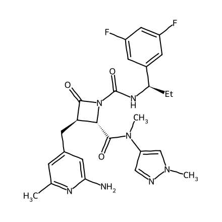 CC[C@@H](NC(=O)N1C(=O)[C@H](Cc2cc(C)nc(N)c2)[C@H]1C(=O)N(C)c1cnn(C)c1)c1cc(F)cc(F)c1